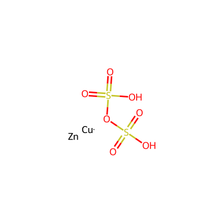 O=S(=O)(O)OS(=O)(=O)O.[Cu].[Zn]